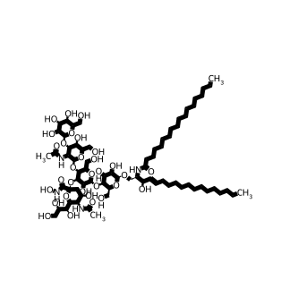 CCCCCCCCCCCCC/C=C/[C@@H](O)[C@H](CO[C@@H]1O[C@@H](CO)[C@@H](O[C@@H]2OC(CO)[C@H](O[C@@H]3OC(CO)[C@H](O)[C@H](O[C@@H]4OC(CO)[C@H](O)[C@H](O)C4O)C3NC(C)=O)[C@H](O[C@]3(C(=O)NO)C[C@@H](O)[C@@H](NC(C)=O)C([C@H](O)[C@H](O)CO)O3)C2O)C(O)C1O)NC(=O)CCCCCCCCCCCCCCCCC